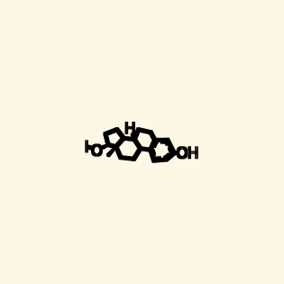 C[C@]12CCC3c4ccc(O)cc4CC[C@H]3C1CC[C@@H]2OI